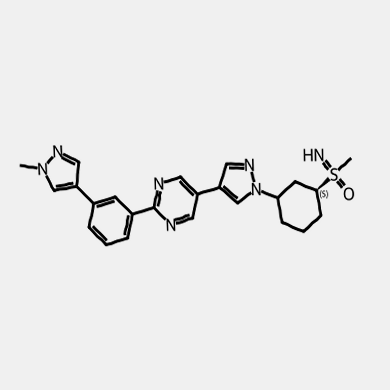 Cn1cc(-c2cccc(-c3ncc(-c4cnn(C5CCC[C@H](S(C)(=N)=O)C5)c4)cn3)c2)cn1